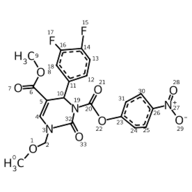 COCN1C=C(C(=O)OC)C(c2ccc(F)c(F)c2)N(C(=O)Oc2ccc([N+](=O)[O-])cc2)C1=O